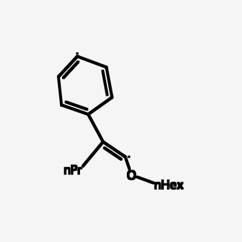 CCCCCCO[C]=C(CCC)c1cc[c]cc1